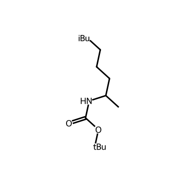 CCC(C)CCCC(C)NC(=O)OC(C)(C)C